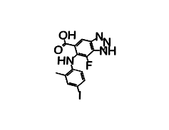 Cc1cc(I)ccc1Nc1c(C(=O)O)cc2nn[nH]c2c1F